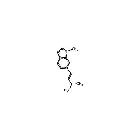 CC(C)/C=C/c1ccc2ccn(C)c2c1